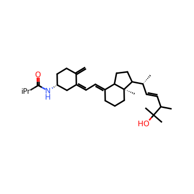 C=C1CC[C@@H](NC(=O)C(C)C)C/C1=C/C=C1\CCC[C@@]2(C)C1CCC2[C@H](C)/C=C/C(C)C(C)(C)O